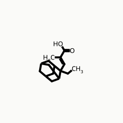 CCC1(C=C(C)C(=O)O)C2CC3CC(C2)CC1C3